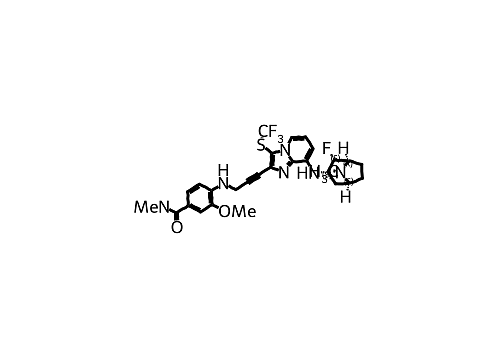 CNC(=O)c1ccc(NCC#Cc2nc3c(N[C@H]4C[C@@H]5CC[C@H]([C@H]4F)N5C)cccn3c2SC(F)(F)F)c(OC)c1